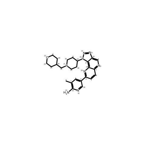 Cc1cc(-c2ccc3ncc4nnn(C5CCN(CC6CCOCC6)CC5)c4c3n2)cnc1N